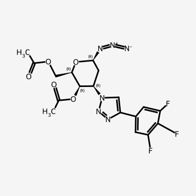 CC(=O)OC[C@H]1O[C@@H](N=[N+]=[N-])C[C@@H](n2cc(-c3cc(F)c(F)c(F)c3)nn2)[C@H]1OC(C)=O